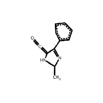 CC1N=C(c2ccccc2)C(=C=O)N1